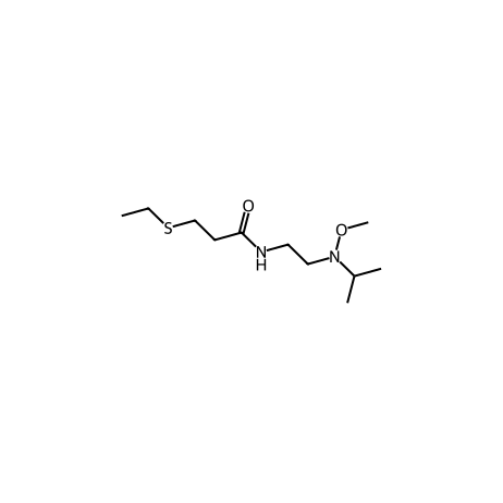 CCSCCC(=O)NCCN(OC)C(C)C